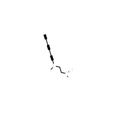 C#CC#CC#CP(Cl)CCP(Cl)Cl